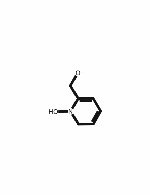 [O]CC1=CC=CCN1O